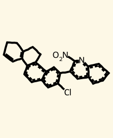 O=[N+]([O-])c1nc2ccccc2cc1-c1cc2c3c(ccc2cc1Cl)C1=C(CCC=C1)CC3